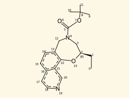 CC[C@@H]1CN(C(=O)OC(C)(C)C)Cc2ccc3ccncc3c2O1